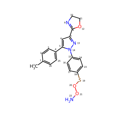 Cc1ccc(-c2cc(C3=NCCO3)nn2-c2ccc(SOON)cc2)cc1